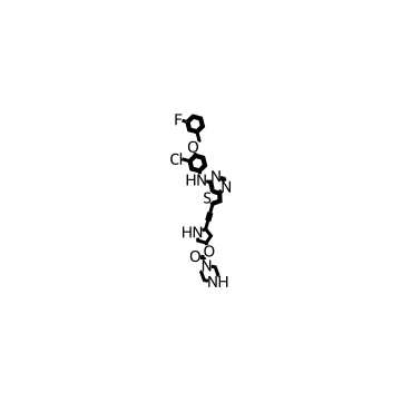 O=C(OC1CNC(C#Cc2cc3ncnc(Nc4ccc(OCc5cccc(F)c5)c(Cl)c4)c3s2)C1)N1CCNCC1